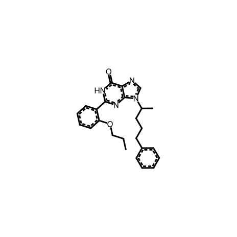 CCCOc1ccccc1-c1nc2c(ncn2C(C)CCCc2ccccc2)c(=O)[nH]1